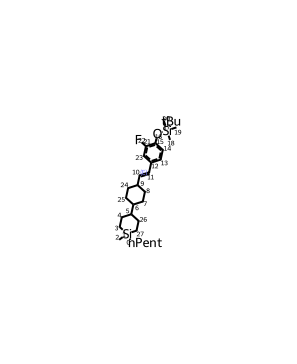 CCCCC[Si]1(C)CCC(C2CCC(/C=C/c3ccc(O[Si](C)(C)C(C)(C)C)c(F)c3)CC2)CC1